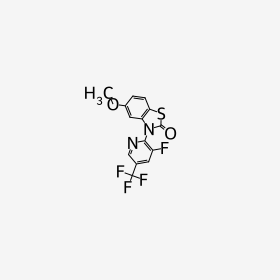 COc1ccc2sc(=O)n(-c3ncc(C(F)(F)F)cc3F)c2c1